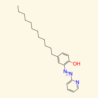 CCCCCCCCCCCCc1ccc(O)c(/N=N/c2ccccn2)c1